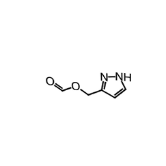 O=COCc1cc[nH]n1